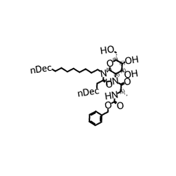 CCCCCCCCCCCCCCCCCCN(C(=O)CCCCCCCCCCC)[C@@H]1O[C@H](CO)[C@@H](O)[C@H](O)[C@H]1NC(=O)[C@H](C)NC(=O)OCc1ccccc1